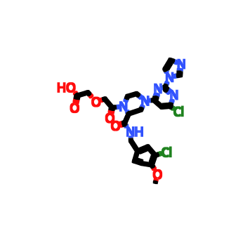 COc1ccc(CNC(=O)C2CN(c3cc(Cl)nc(-n4ccnc4)n3)CCN2C(=O)COCC(=O)O)cc1Cl